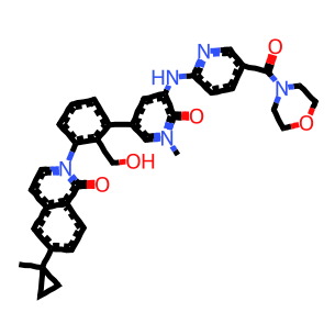 Cn1cc(-c2cccc(-n3ccc4cc(C5(C)CC5)ccc4c3=O)c2CO)cc(Nc2ccc(C(=O)N3CCOCC3)cn2)c1=O